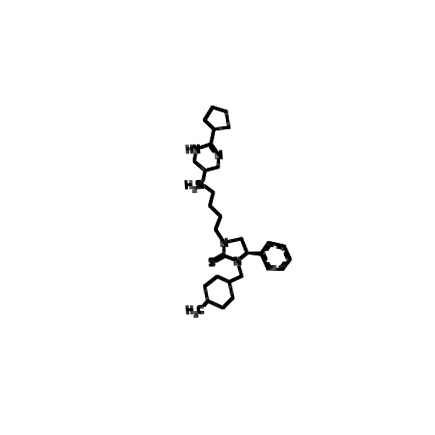 CC1CCC(CN2C(=S)N(CCCC[SiH2]C3CN=C(C4CCCC4)NC3)C[C@H]2c2ccccc2)CC1